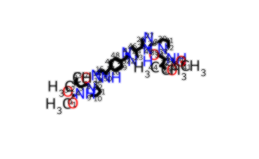 COC(=O)NC(C(=O)N1CCC[C@H]1c1ncc(-c2ccc(-c3ncc(-c4cnc([C@@H]5CCCN5C(=O)[C@@H](NC(=O)OC)C(C)C)[nH]4)cn3)cc2)[nH]1)C(C)C